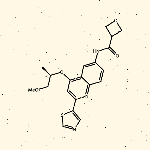 COC[C@@H](C)Oc1cc(-c2cncs2)nc2ccc(NC(=O)C3COC3)cc12